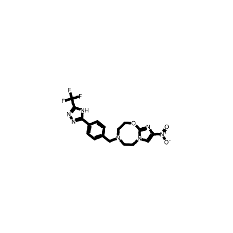 O=[N+]([O-])c1cn2c(n1)OCCN(Cc1ccc(-c3nnc(C(F)(F)F)[nH]3)cc1)CC2